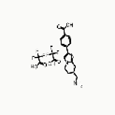 NCC1CCn2cc(-c3ccc(C(=O)O)cc3)nc2C1.O=C(O)C(F)(F)F.O=C(O)C(F)(F)F